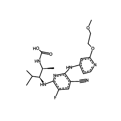 COCCOc1cc(Nc2nc(N[C@@H](C(C)C)[C@H](C)NC(=O)O)c(F)cc2C#N)ccn1